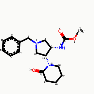 CC(C)(C)OC(=O)N[C@H]1CN(Cc2ccccc2)C[C@H]1N1CCCCC1=O